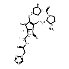 C[C@@H](NC(=O)Cn1cnnn1)[C@H]1C(=O)N2C(C(=O)O)=C(S[C@@H]3CN[C@H](C(=O)N4CC[C@H](N)C4)C3)[C@H](C)[C@H]12